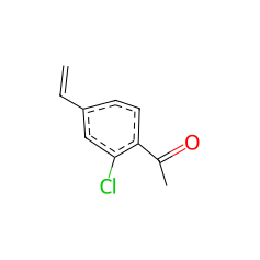 C=Cc1ccc(C(C)=O)c(Cl)c1